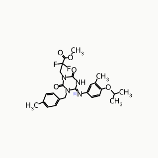 COC(=O)C(F)(F)Cn1c(=O)[nH]/c(=N\c2ccc(OC(C)C)c(C)c2)n(Cc2ccc(C)cc2)c1=O